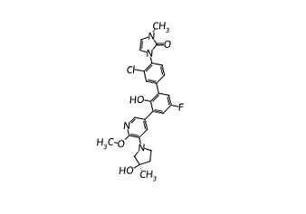 COc1ncc(-c2cc(F)cc(-c3ccc(-n4ccn(C)c4=O)c(Cl)c3)c2O)cc1N1CC[C@@](C)(O)C1